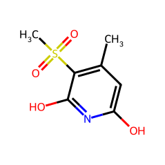 Cc1cc(O)nc(O)c1S(C)(=O)=O